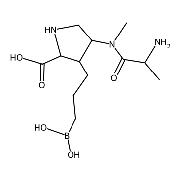 CC(N)C(=O)N(C)C1CNC(C(=O)O)C1CCCB(O)O